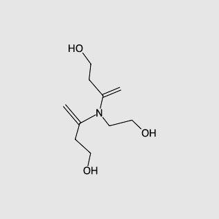 C=C(CCO)N(CCO)C(=C)CCO